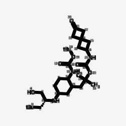 CC(C)(C)C[C@H](CO)NC1CCC(NC(=O)OC(C)(C)C)C(CC(C)(C)OC(=O)NC2CC3(CC(=O)C3)C2)C1